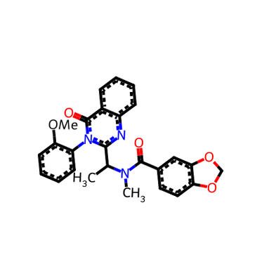 COc1ccccc1-n1c(C(C)N(C)C(=O)c2ccc3c(c2)OCO3)nc2ccccc2c1=O